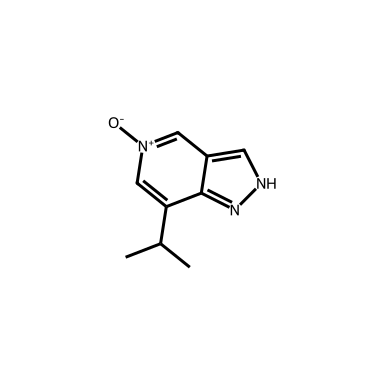 CC(C)c1c[n+]([O-])cc2c[nH]nc12